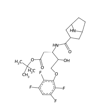 CC(C)(C)OC(=O)C[C@H](NC(=O)C1CC2CCC(C1)N2)C(O)COc1c(F)c(F)cc(F)c1F